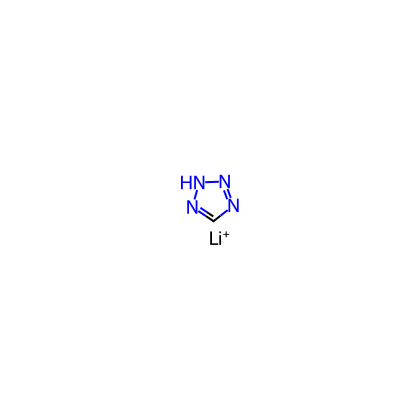 [Li+].c1nn[nH]n1